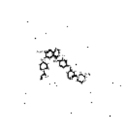 C=CC(=O)N1CCC(Nc2cc3c(Nc4ccc(Oc5ccnc(N6CCO[C@@H](C(C)C)C6)c5)cc4F)ncnc3cc2OC)CC1